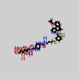 O=C(NCCCCSc1ccc(Cl)c(COC2(c3cnccc3-c3ccccc3OC3CC3)CC2)c1)N[C@H]1CC[C@H](NC(=O)NC[C@H](O)[C@@H](O)[C@H](O)[C@H](O)CO)CC1